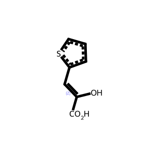 O=C(O)/C(O)=C/c1cccs1